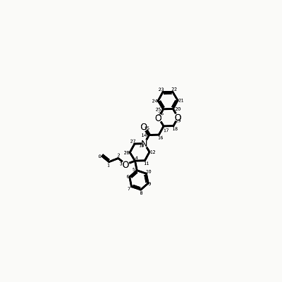 C=CCOC1(c2ccccc2)CCN(C(=O)CC2COc3ccccc3O2)CC1